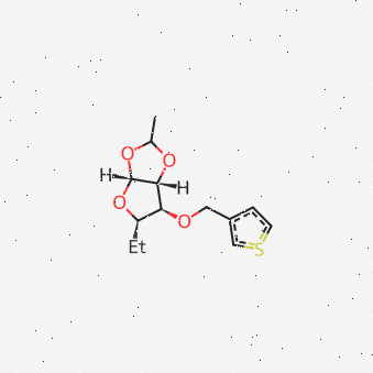 CC[C@H]1O[C@@H]2OC(C)O[C@@H]2[C@H]1OCc1ccsc1